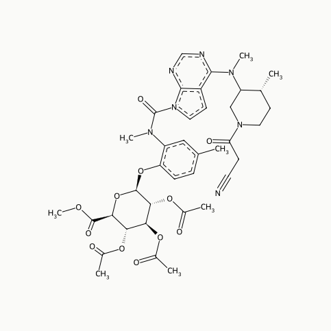 COC(=O)[C@H]1O[C@@H](Oc2ccc(C)cc2N(C)C(=O)n2ccc3c(N(C)C4CN(C(=O)CC#N)CC[C@H]4C)ncnc32)[C@H](OC(C)=O)[C@@H](OC(C)=O)[C@@H]1OC(C)=O